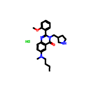 CCCCN(C)c1ccc2nc(-c3ccccc3OC)n(CC3CCNC3)c(=O)c2c1.Cl